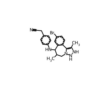 CC1=C2c3ccc(Br)cc3C(Nc3ccc(CC#N)cc3)C(C)CN2NN1